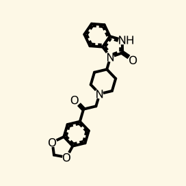 O=C(CN1CCC(n2c(=O)[nH]c3ccccc32)CC1)c1ccc2c(c1)OCO2